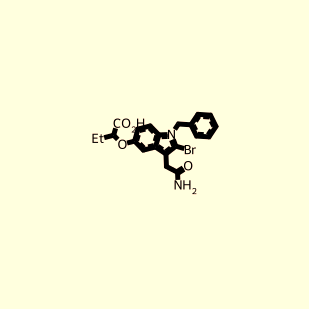 CCC(Oc1ccc2c(c1)c(CC(N)=O)c(Br)n2Cc1ccccc1)C(=O)O